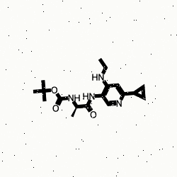 CCNc1cc(C2CC2)ncc1NC(=O)[C@@H](C)NC(=O)OC(C)(C)C